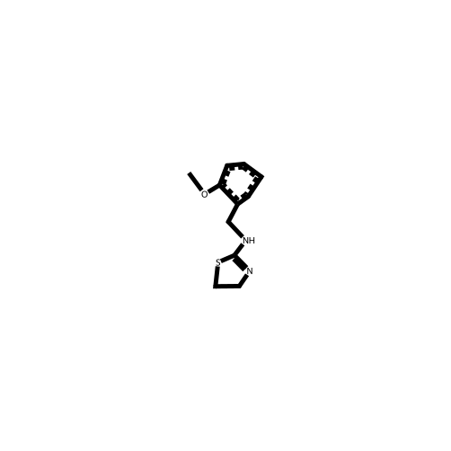 COc1ccccc1CNC1=NCCS1